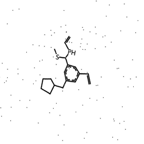 C=CPC(SC)c1cc(C=C)cc(CC2CCCC2)c1